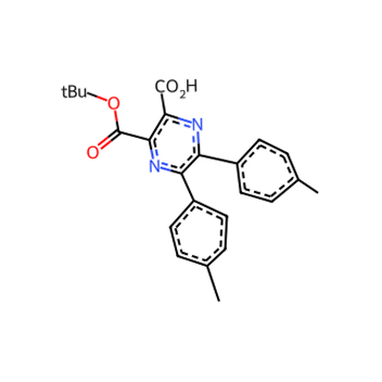 Cc1ccc(-c2nc(C(=O)O)c(C(=O)OC(C)(C)C)nc2-c2ccc(C)cc2)cc1